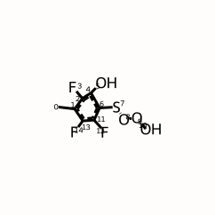 Cc1c(F)c(O)c(SOOO)c(F)c1F